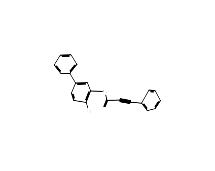 O=C(C#Cc1ccccc1)Nc1cc(-c2ccccc2)ccc1C(=O)O